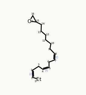 CC/C=C\C/C=C\C/C=C\CCCCCCC1CO1